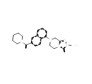 Cn1nc2n(c1=O)CCN(c1cccc3cc(C(=O)N4CCCCC4)ccc13)C2